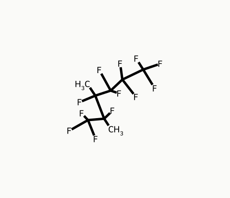 CC(F)(C(F)(F)F)C(C)(F)C(F)(F)C(F)(F)C(F)(F)F